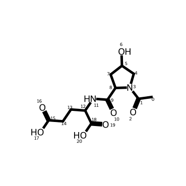 CC(=O)N1CC(O)CC1C(=O)NC(CCC(=O)O)C(=O)O